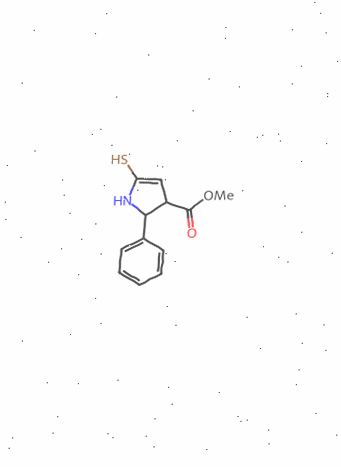 COC(=O)C1C=C(S)NC1c1ccccc1